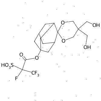 O=C(OC12CC3CC(C1)C1(OCC(CO)(CO)CO1)C(C3)C2)C(F)(C(F)(F)F)S(=O)(=O)O